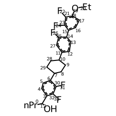 CCCC(O)c1ccc(C2CCC(c3ccc(-c4ccc(OCC)c(F)c4F)c(F)c3)CC2)c(F)c1F